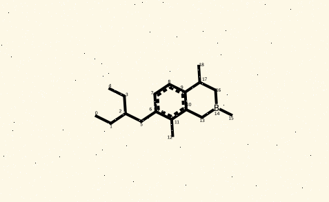 CCC(CC)Cc1ccc2c(c1C)CB(C)CC2C